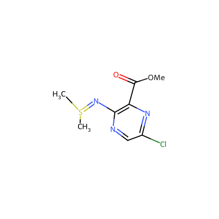 COC(=O)c1nc(Cl)cnc1N=S(C)C